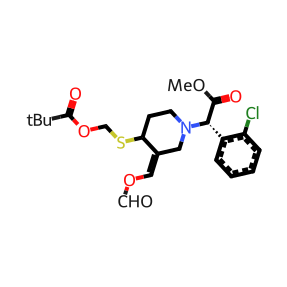 COC(=O)[C@H](c1ccccc1Cl)N1CCC(SCOC(=O)C(C)(C)C)/C(=C\OC=O)C1